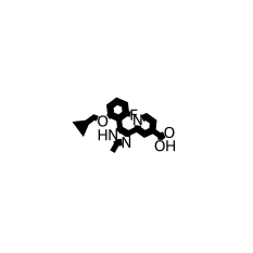 Cc1nc(-c2cc(C(=O)O)ccn2)c(-c2c(F)cccc2OCC2CC2)[nH]1